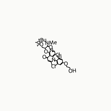 CNC(=O)C(CO[Si](C)(C)C(C)(C)C)Oc1ncc(Cl)c2c1c(=O)cc(C)n2-c1c(Cl)cc(OCCO)cc1Cl